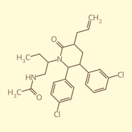 C=CCC1CC(c2cccc(Cl)c2)C(c2ccc(Cl)cc2)N(C(CC)CNC(C)=O)C1=O